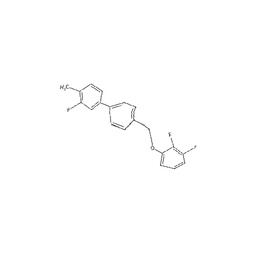 Cc1ccc(-c2ccc(COc3cccc(F)c3F)cc2)cc1F